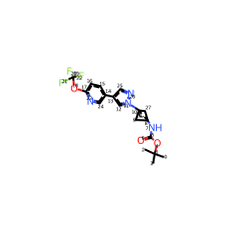 CC(C)(C)OC(=O)NC12CC(n3cc(-c4ccc(OC(F)(F)F)nc4)cn3)(C1)C2